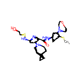 CSc1ccc(NC(=O)c2cnc(NSCCO)cc2N2CCC3(CC2)CC3)cc1N1CCOCC1